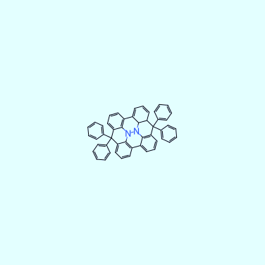 C1=CC2C3C(=C1)c1cccc4c1N1c5c(cccc5C4(c4ccccc4)c4ccccc4)-c4cccc(c4N31)C2(c1ccccc1)c1ccccc1